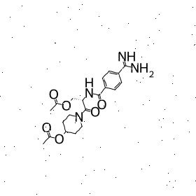 CC(=O)OC[C@H](NC(=O)c1ccc(C(=N)N)cc1)C(=O)N1CCC(OC(C)=O)CC1